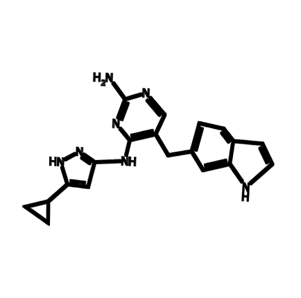 Nc1ncc(Cc2ccc3cc[nH]c3c2)c(Nc2cc(C3CC3)[nH]n2)n1